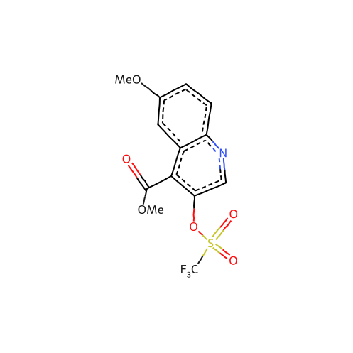 COC(=O)c1c(OS(=O)(=O)C(F)(F)F)cnc2ccc(OC)cc12